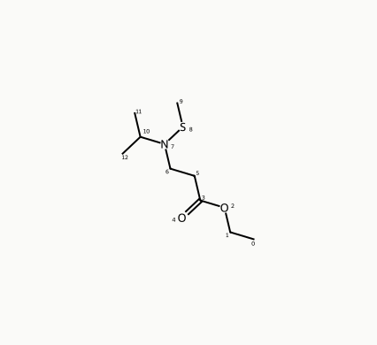 CCOC(=O)CCN(SC)C(C)C